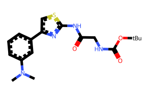 CN(C)c1cccc(-c2csc(NC(=O)CNC(=O)OC(C)(C)C)n2)c1